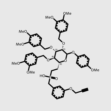 C#CCOc1cccc(CP(=O)(O)CC[C@H]2OC(Oc3ccc(OC)cc3)[C@@H](OCc3ccc(OC)c(OC)c3)[C@@H](OCc3ccc(OC)c(OC)c3)[C@@H]2OCc2ccc(OC)c(OC)c2)c1